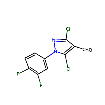 O=Cc1c(Cl)nn(-c2ccc(F)c(F)c2)c1Cl